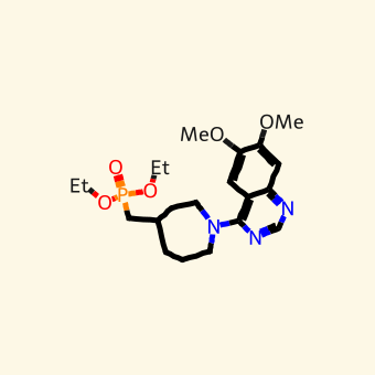 CCOP(=O)(CC1CCCN(c2ncnc3cc(OC)c(OC)cc23)CC1)OCC